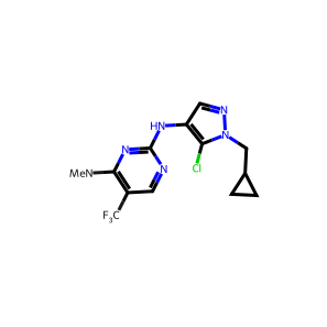 CNc1nc(Nc2cnn(CC3CC3)c2Cl)ncc1C(F)(F)F